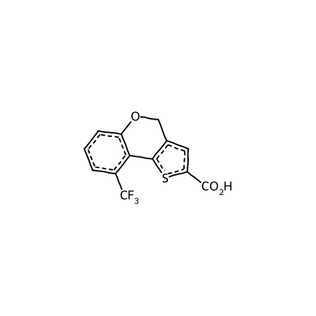 O=C(O)c1cc2c(s1)-c1c(cccc1C(F)(F)F)OC2